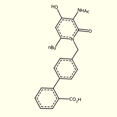 CCCCc1cc(O)c(NC(C)=O)c(=O)n1Cc1ccc(-c2ccccc2C(=O)O)cc1